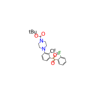 CC(C)(C)OC(=O)N1CCN(c2cccc(S(=O)(=O)c3ccccc3F)c2C(F)(F)F)CC1